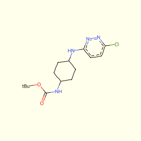 CC(C)(C)OC(=O)NC1CCC(Nc2ccc(Cl)nn2)CC1